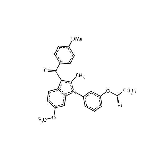 CC[C@@H](Oc1cccc(-n2c(C)c(C(=O)c3ccc(OC)cc3)c3ccc(OC(F)(F)F)cc32)c1)C(=O)O